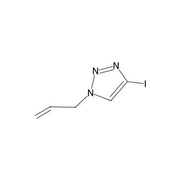 C=CCn1cc(I)nn1